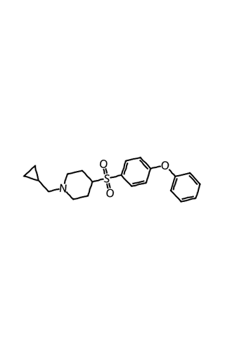 O=S(=O)(c1ccc(Oc2ccccc2)cc1)C1CCN(CC2CC2)CC1